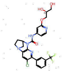 O=C(Nc1ccnc(OC[C@@H](O)CO)c1)N1c2nc(-c3cccc(C(F)(F)F)c3)c(Cl)cc2N2CCC1C2